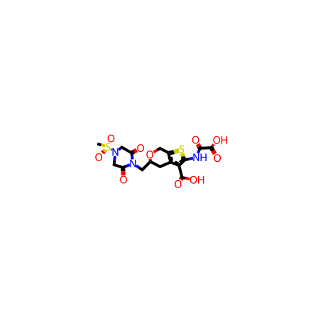 CS(=O)(=O)N1CC(=O)N(CC2Cc3c(sc(NC(=O)C(=O)O)c3C(=O)O)CO2)C(=O)C1